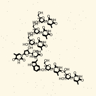 Cc1cn([C@H]2C[C@H](O)[C@@H](C(O)N[C@@H](Cc3c[nH]c4ccccc34)C(=O)O)O2)c(=O)[nH]c1=O.Cc1cn([C@H]2C[C@H](O)[C@@H](CO)O2)c(=O)[nH]c1=O.Cc1cn([C@H]2C[C@H](O)[C@@H](CO)O2)c(=O)[nH]c1=O.Cc1cn([C@H]2C[C@H](O)[C@@H](CO)O2)c(=O)[nH]c1=O.Cc1cn([C@H]2C[C@H](O)[C@@H](CO)O2)c(=O)[nH]c1=O.Cc1cn([C@H]2C[C@H](O)[C@@H](CO)O2)c(=O)[nH]c1=O